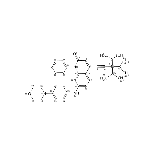 CC(C)[Si](C#Cc1cc(=O)n(-c2ccccc2)c2nc(Nc3ccc(N4CCOCC4)cc3)ncc12)(C(C)C)C(C)C